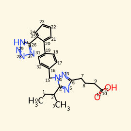 CCC(C)c1nc(CCCC(=O)O)nn1Cc1ccc(-c2ccccc2-c2nnn[nH]2)cc1